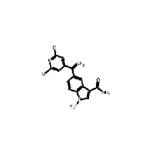 C=C(c1cc(Cl)nc(Cl)c1)c1ccc2c(c1)c(C(N)=O)cn2C